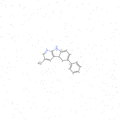 Cc1cnc2c(c1)C1CC(c3ccccc3)=CC=C1N2